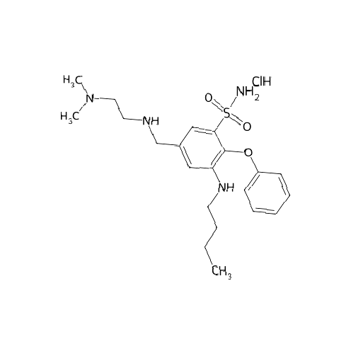 CCCCNc1cc(CNCCN(C)C)cc(S(N)(=O)=O)c1Oc1ccccc1.Cl